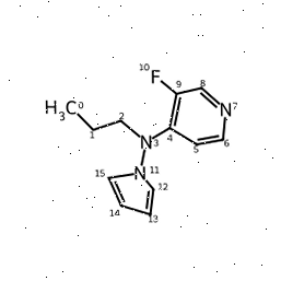 CCCN(c1ccncc1F)n1cccc1